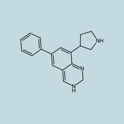 C1=c2cc(-c3ccccc3)cc(C3CCNC3)c2=NCN1